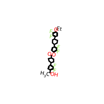 CCOc1ccc(C2CCC(c3ccc(OC(=O)C4CCC(c5ccc(C(C)O)c(F)c5F)CC4)c(F)c3F)CC2)c(F)c1F